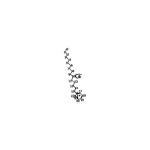 CCCCCCCCCCCCCCCCc1cccc[n+]1C.[Cl-]